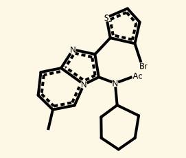 CC(=O)N(c1c(-c2sccc2Br)nc2ccc(C)cn12)C1CCCCC1